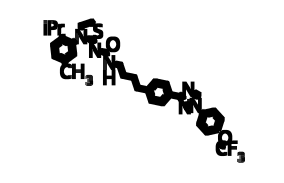 Cc1ccc(C(C)C)c(N2CCS/C2=N\C(=O)NCCCCc2ccc(-c3ncn(-c4ccc(OC(F)(F)F)cc4)n3)cc2)c1